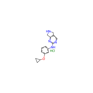 Cl.c1cc(Nc2ncc3c(n2)CNC3)cc(OC2CC2)c1